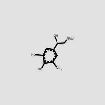 CNC[C@H](O)c1cc(N)c(O)c(O)c1